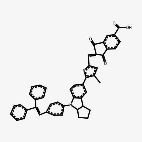 Cc1cc(/C=C2\C(=O)c3ccc(C(=O)O)cc3C2=O)sc1-c1ccc2c(c1)C1CCCC1N2c1ccc(C=C(c2ccccc2)c2ccccc2)cc1